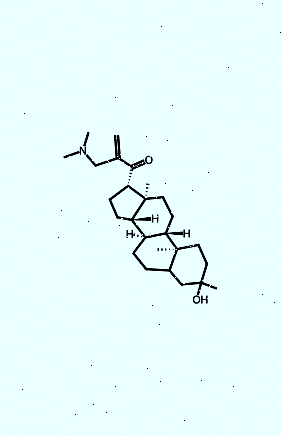 C=C(CN(C)C)C(=O)[C@H]1CC[C@H]2[C@@H]3CCC4CC(C)(O)CC[C@]4(C)[C@H]3CC[C@]12C